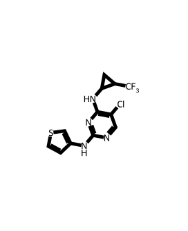 FC(F)(F)C1CC1Nc1nc(Nc2ccsc2)ncc1Cl